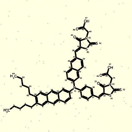 CCCCCc1cc2cc3ccc(N(c4ccc(/C=C5/SC(=S)N(CC(=O)O)C5=O)cc4)c4ccc5cc(/C=C6\SC(=S)N(CC(=O)O)C6=O)ccc5c4)cc3cc2cc1CCCCC